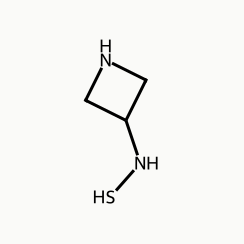 SNC1CNC1